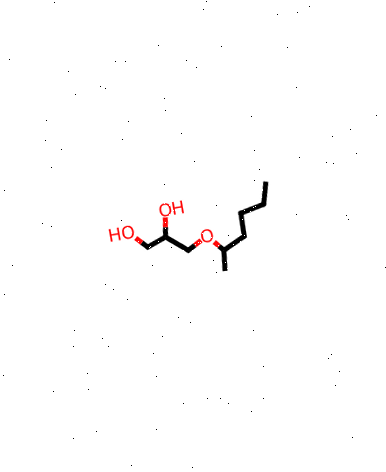 CCCCC(C)OCC(O)CO